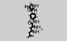 CC(C)CC(=N)/C=C(\N)C(=O)Nc1ccc([C@@H]2O[C@H]3CN[C@@H]2C3)cc1